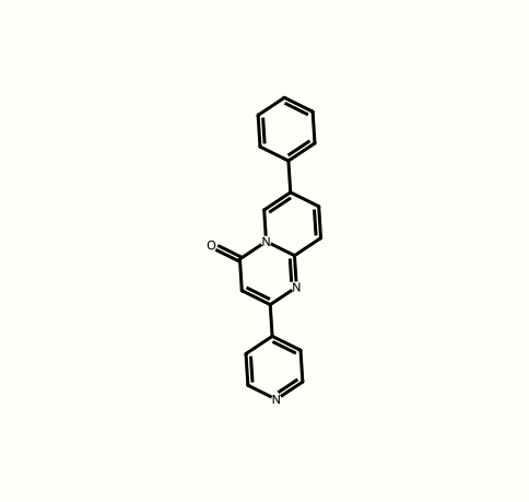 O=c1cc(-c2ccncc2)nc2ccc(-c3ccccc3)cn12